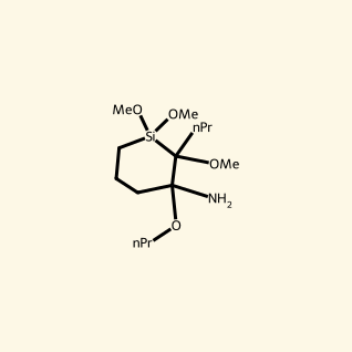 CCCOC1(N)CCC[Si](OC)(OC)C1(CCC)OC